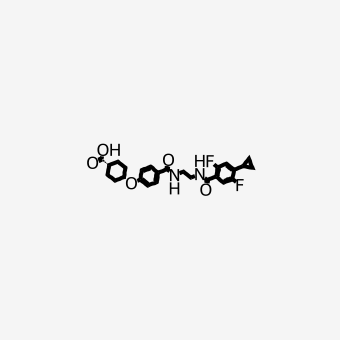 O=C(NCCNC(=O)c1cc(F)c(C2CC2)cc1F)c1ccc(O[C@H]2CC[C@@H](C(=O)O)CC2)cc1